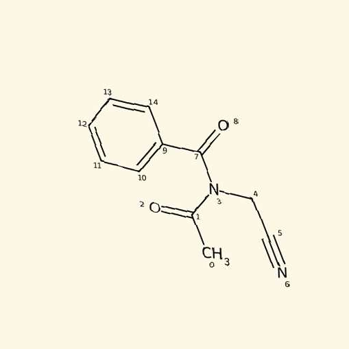 CC(=O)N(CC#N)C(=O)c1ccccc1